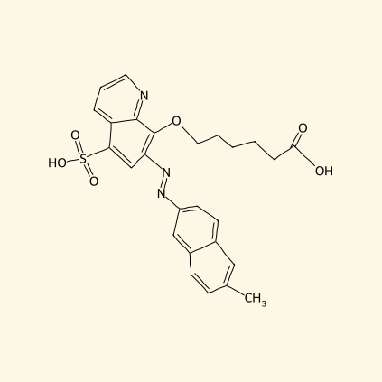 Cc1ccc2cc(/N=N/c3cc(S(=O)(=O)O)c4cccnc4c3OCCCCCC(=O)O)ccc2c1